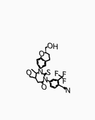 N#Cc1ccc(N2C(=O)CC3COCC3N(c3ccc4c(c3)CC[C@H](CO)O4)C2=S)cc1C(F)(F)F